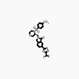 Cc1ccc(S(=O)(=O)N2CCOC[C@@H]2CN2Cc3ccc(-c4nnc(C(F)F)o4)cc3C2=O)cc1